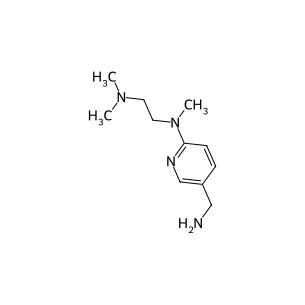 CN(C)CCN(C)c1ccc(CN)cn1